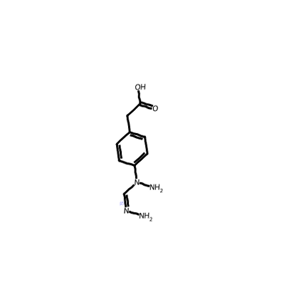 N/N=C\N(N)c1ccc(CC(=O)O)cc1